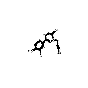 CCC#CCN1N=C(c2ccc(C)c(F)c2)CCC1=O